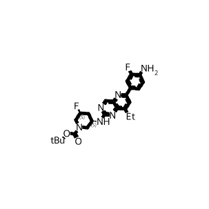 CCc1cc(-c2ccc(N)c(F)c2)nc2cnc(N[C@H]3C[C@H](F)CN(C(=O)OC(C)(C)C)C3)nc12